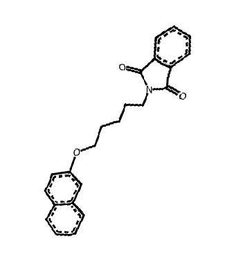 O=C1c2ccccc2C(=O)N1CCCCCOc1ccc2ccccc2c1